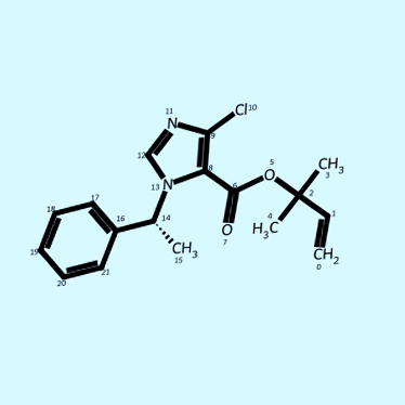 C=CC(C)(C)OC(=O)c1c(Cl)ncn1[C@H](C)c1ccccc1